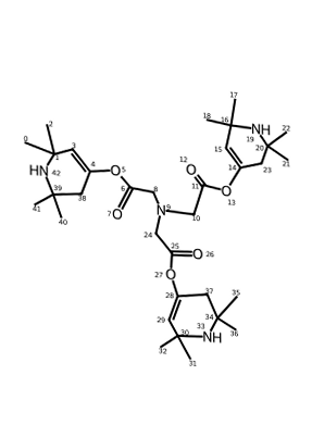 CC1(C)C=C(OC(=O)CN(CC(=O)OC2=CC(C)(C)NC(C)(C)C2)CC(=O)OC2=CC(C)(C)NC(C)(C)C2)CC(C)(C)N1